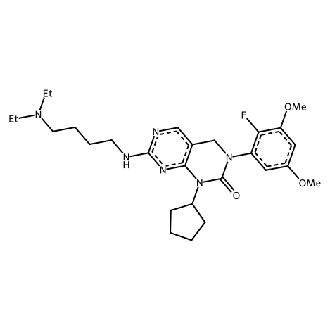 CCN(CC)CCCCNc1ncc2c(n1)N(C1CCCC1)C(=O)N(c1cc(OC)cc(OC)c1F)C2